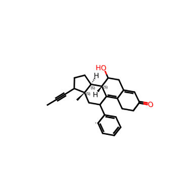 CC#CC1CC[C@H]2[C@H]3C(=C4CCC(=O)C=C4CC3O)C(c3[c]cccc3)C[C@]12C